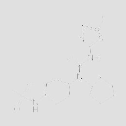 CS(=O)(=O)NC1CCC(N(C(=O)Nc2ncc(Cl)s2)C2CCCCC2)CC1